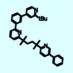 CC(C)(C)c1cc(-c2cccc(-c3cccc(C(C)(C)CCC(C)(C)c4ccc(-c5ccccc5)cn4)n3)c2)ccn1